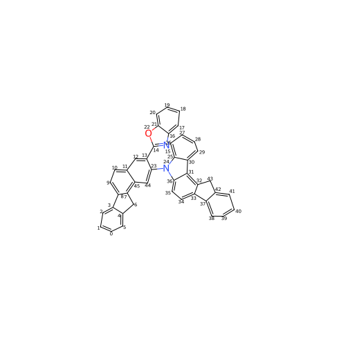 c1ccc2c(c1)Cc1c-2ccc2cc(-c3nc4ccccc4o3)c(-n3c4ccccc4c4c5c(ccc43)-c3ccccc3C5)cc12